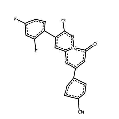 CCc1nn2c(=O)cc(-c3ccc(C#N)cc3)nc2cc1-c1ccc(F)cc1F